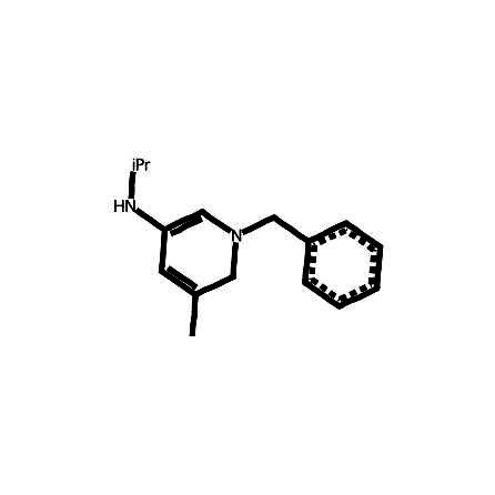 CC1=CC(NC(C)C)=CN(Cc2ccccc2)C1